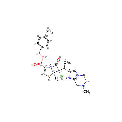 CC(=O)OC(c1cn2c(n1)CN(C)CC2)C1(Br)C(=O)N2C(C(=O)OCc3ccc([N+](=O)[O-])cc3)=CS[C@@H]21